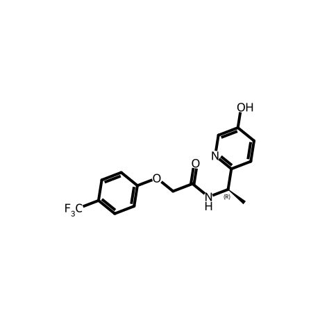 C[C@@H](NC(=O)COc1ccc(C(F)(F)F)cc1)c1ccc(O)cn1